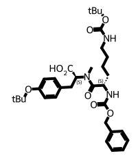 CN(C(=O)[C@H](CCCCNC(=O)OC(C)(C)C)NC(=O)OCc1ccccc1)[C@@H](Cc1ccc(OC(C)(C)C)cc1)C(=O)O